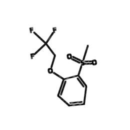 CS(=O)(=O)c1ccccc1OCC(F)(F)F